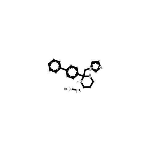 CC(=O)O.c1ccc(-c2ccc(C3(Cn4ccnc4)OCCCO3)cc2)cc1